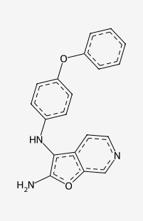 Nc1oc2cnccc2c1Nc1ccc(Oc2ccccc2)cc1